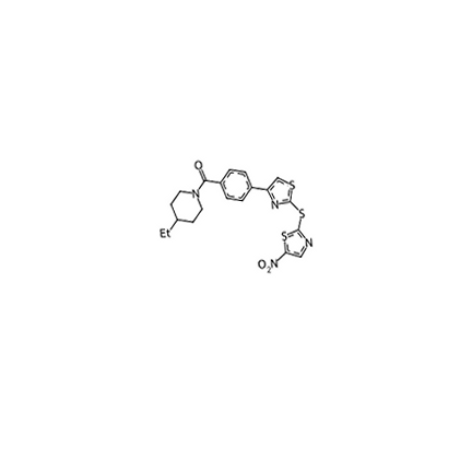 CCC1CCN(C(=O)c2ccc(-c3csc(Sc4ncc([N+](=O)[O-])s4)n3)cc2)CC1